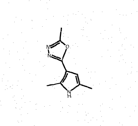 Cc1cc(-c2nnc(C)o2)c(C)[nH]1